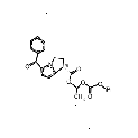 CC(C)OC(=O)OC(C)OC(=O)[C@H]1CCn2c(C(=O)c3ccccc3)ccc21